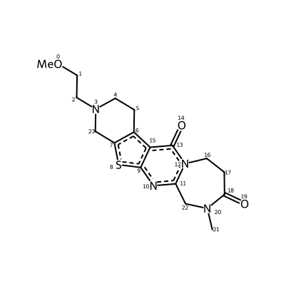 COCCN1CCc2c(sc3nc4n(c(=O)c23)CCC(=O)N(C)C4)C1